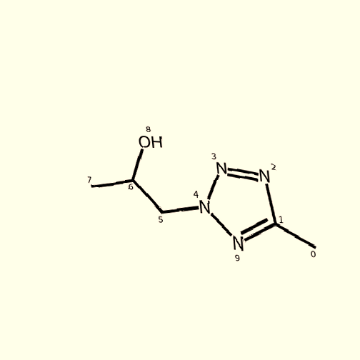 Cc1nnn(CC(C)O)n1